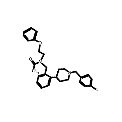 CC(=O)N(CCOc1ccccc1)Cc1ccccc1C1CCN(Cc2ccc(F)cc2)CC1